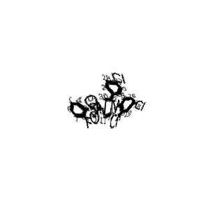 O=S(=O)(c1ccccc1F)N1CCN(c2ccc(Cl)cc2Cl)C(c2ccc(Cl)cc2)C1